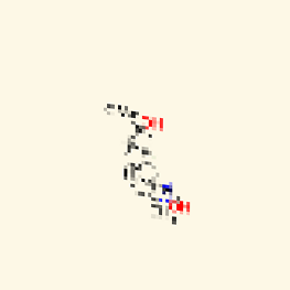 COC[C@@]1(O)CC[C@]2(F)C3CC[C@@]4(C)C(CCC4[C@@H](C)NO)[C@@H]3CC[C@@H]2C1